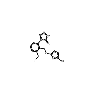 CSc1cccc(-n2nn[nH]c2=O)c1COc1ccn(S)n1